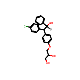 CCC(O)(c1ccccc1)C(c1ccc(Cl)cc1)c1ccc(OCC(O)CO)cc1